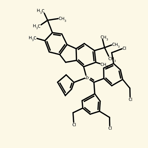 Cc1cc2c(cc1C(C)(C)C)-c1cc(C(C)(C)C)c(C)[c]([Zr]([C]3=CC=CC3)=[C](c3cc(CCl)cc(CCl)c3)c3cc(CCl)cc(CCl)c3)c1C2